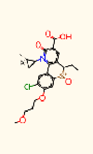 CCC1c2cc(C(=O)O)c(=O)n(C3C[C@@H]3C)c2-c2cc(Cl)c(OCCCOC)cc2[S+]1[O-]